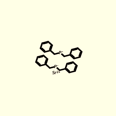 [Sr+2].c1ccc(C[P-]Cc2ccccc2)cc1.c1ccc(C[P-]Cc2ccccc2)cc1